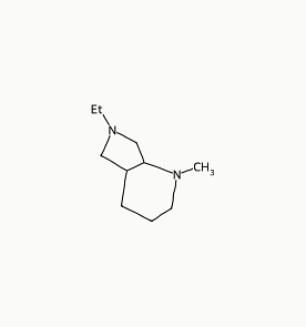 CCN1CC2CCCN(C)C2C1